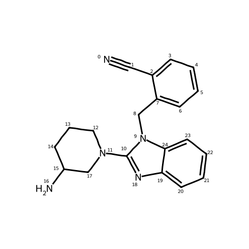 N#Cc1ccccc1Cn1c(N2CCCC(N)C2)nc2ccccc21